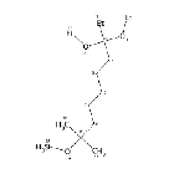 CCOC(CC)(CCCCCC(C)(C)O[SiH3])OCC